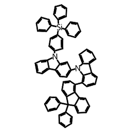 c1ccc(C2(c3ccccc3)c3ccccc3-c3c(-c4cccc5c6ccccc6n(-c6ccc7c8ccccc8n(-c8ccc([Si](c9ccccc9)(c9ccccc9)c9ccccc9)cc8)c7c6)c45)cccc32)cc1